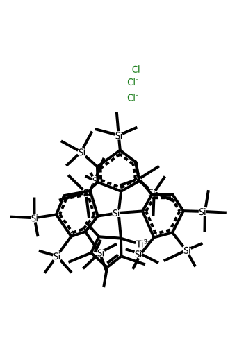 CC1=C(C)[C]([Ti+3])([Si](c2c([Si](C)(C)C)cc([Si](C)(C)C)c([Si](C)(C)C)c2[Si](C)(C)C)(c2c([Si](C)(C)C)cc([Si](C)(C)C)c([Si](C)(C)C)c2[Si](C)(C)C)c2c([Si](C)(C)C)cc([Si](C)(C)C)c([Si](C)(C)C)c2[Si](C)(C)C)C(C)=C1C.[Cl-].[Cl-].[Cl-]